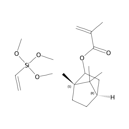 C=C(C)C(=O)OC1C[C@H]2CC[C@@]1(C)C2(C)C.C=C[Si](OC)(OC)OC